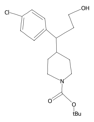 CC(C)(C)OC(=O)N1CCC(C(CCO)c2ccc(Cl)cc2)CC1